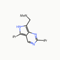 CNCc1[nH]c(C(C)C)c2cnc(C(C)C)nc12